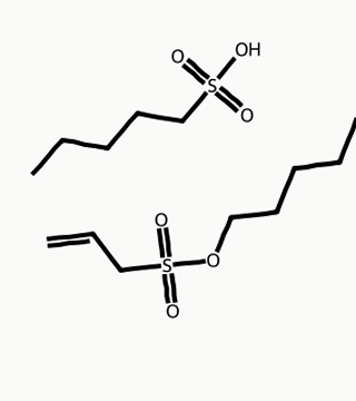 C=CCS(=O)(=O)OCCCCC.CCCCCS(=O)(=O)O